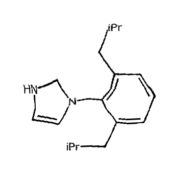 CC(C)Cc1cccc(CC(C)C)c1N1C=CNC1